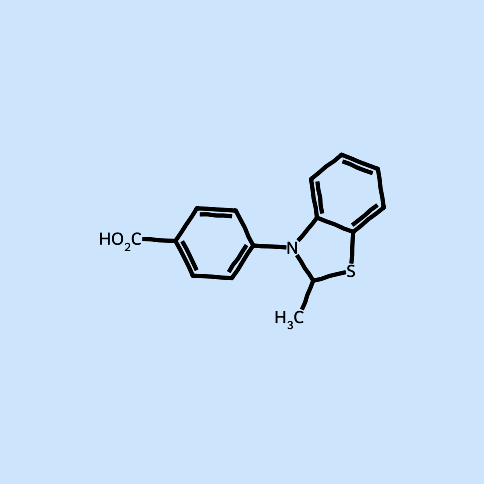 CC1Sc2ccccc2N1c1ccc(C(=O)O)cc1